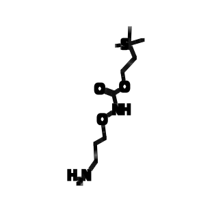 C[Si](C)(C)CCOC(=O)NOCCCN